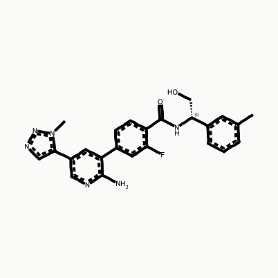 Cc1cccc([C@@H](CO)NC(=O)c2ccc(-c3cc(-c4cnnn4C)cnc3N)cc2F)c1